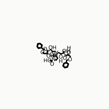 O=C(O)N1CC[C@H](N(CC(O)C(O)[C@@H]2OC(c3ccccc3)OC[C@H]2O)CC(O)C(O)[C@@H]2OC(c3ccccc3)OC[C@H]2O)C1